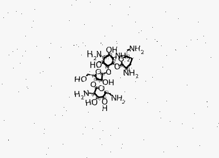 NC[C@@H]1CC[C@@H](N)[C@@H](O[C@@H]2[C@@H](N)[C@H](O)[C@@H](N)[C@H](O)[C@H]2O[C@@H]2O[C@H](CO)[C@@H](O[C@H]3O[C@@H](CN)[C@@H](O)[C@H](O)[C@H]3N)[C@H]2O)O1